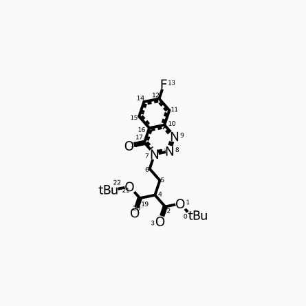 CC(C)(C)OC(=O)C(CCn1nnc2cc(F)ccc2c1=O)C(=O)OC(C)(C)C